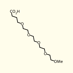 COCCOCCOCCOCCOCCCC(=O)O